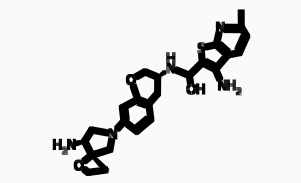 Cc1ccc2c(N)c(C(O)N[C@H]3COc4cc(N5C[C@H](N)[C@]6(CCO6)C5)ccc4C3)sc2n1